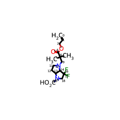 C=CCOC(=O)C(C)(C)CN1CCC2C1C(F)(F)CN2C(=O)O